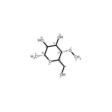 CO[C@@H]1C(CO)O[C@H](C)C(O)C1O